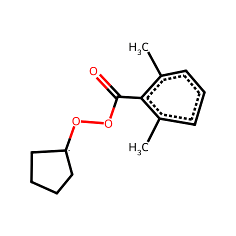 Cc1cccc(C)c1C(=O)OO[C]1CCCC1